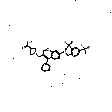 O=C(O)C1CN(CC2=C(c3ccccc3)c3ccc(OCc4ccc(C(F)(F)F)cc4C(F)(F)F)cc3OC2)C1